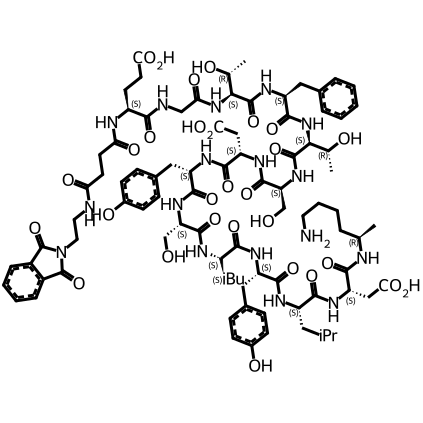 CC[C@H](C)[C@H](NC(=O)[C@H](CO)NC(=O)[C@H](Cc1ccc(O)cc1)NC(=O)[C@H](CC(=O)O)NC(=O)[C@H](CO)NC(=O)[C@@H](NC(=O)[C@H](Cc1ccccc1)NC(=O)[C@@H](NC(=O)CNC(=O)[C@H](CCC(=O)O)NC(=O)CCC(=O)NCCN1C(=O)c2ccccc2C1=O)[C@@H](C)O)[C@@H](C)O)C(=O)N[C@@H](Cc1ccc(O)cc1)C(=O)N[C@@H](CC(C)C)C(=O)N[C@@H](CC(=O)O)C(=O)N[C@H](C)CCCCN